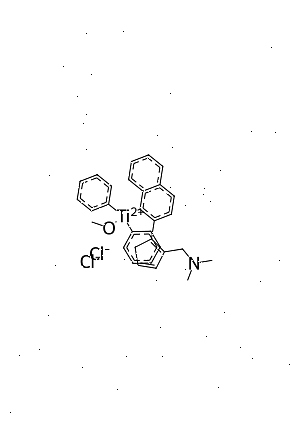 C[O][Ti+2]([c]1ccccc1)([c]1ccccc1)[c]1c(C2=C(CN(C)C)C=CC2)ccc2ccccc12.[Cl-].[Cl-]